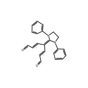 O=C/C=C/C(/C=C/C=O)=C1N(c2ccccc2)CCN1c1ccccc1